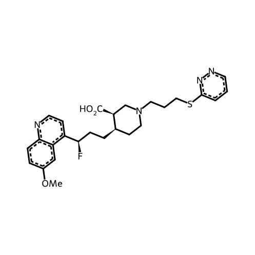 COc1ccc2nccc([C@H](F)CC[C@@H]3CCN(CCCSc4cccnn4)C[C@@H]3C(=O)O)c2c1